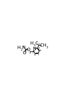 CC(C)c1cccc(COC(N)=O)n1